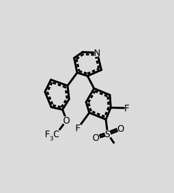 CS(=O)(=O)c1c(F)cc(-c2cnccc2-c2cccc(OC(F)(F)F)c2)cc1F